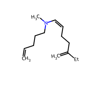 C=CCCCN(C)/C=C\CCC(=C)CC